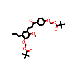 C=CCc1cc(/C=C/C(=O)c2ccc(OCOC(=O)C(C)(C)C)cc2)c(OC)cc1OCOC(=O)C(C)(C)C